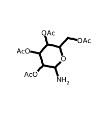 CC(=O)OCC1OC(N)C(OC(C)=O)C(OC(C)=O)C1OC(C)=O